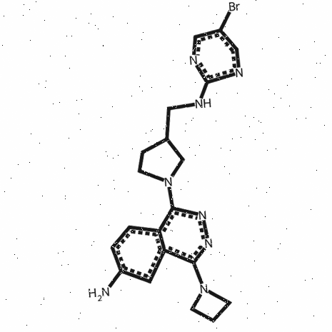 Nc1ccc2c(N3CCC(CNc4ncc(Br)cn4)C3)nnc(N3CCC3)c2c1